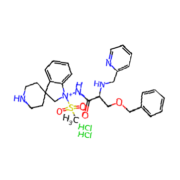 CS(=O)(=O)[N+]1(NC(=O)C(COCc2ccccc2)NCc2ccccn2)CC2(CCNCC2)c2ccccc21.Cl.Cl